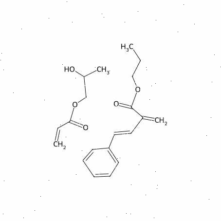 C=C(C=Cc1ccccc1)C(=O)OCCC.C=CC(=O)OCC(C)O